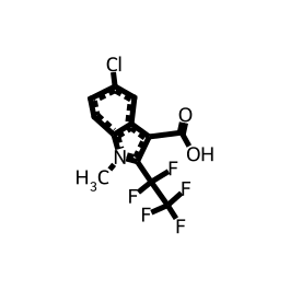 Cn1c(C(F)(F)C(F)(F)F)c(C(=O)O)c2cc(Cl)ccc21